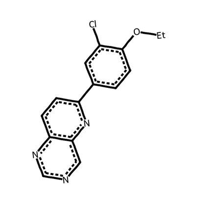 CCOc1ccc(-c2ccc3ncncc3n2)cc1Cl